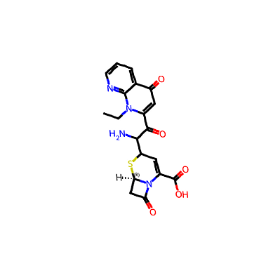 CCn1c(C(=O)C(N)C2C=C(C(=O)O)N3C(=O)C[C@H]3S2)cc(=O)c2cccnc21